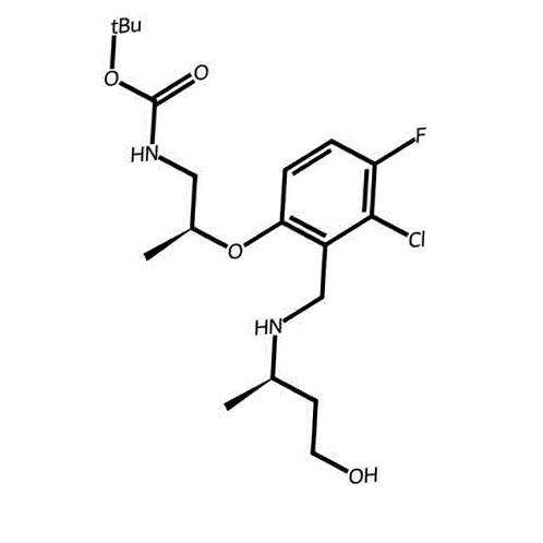 C[C@H](CCO)NCc1c(O[C@@H](C)CNC(=O)OC(C)(C)C)ccc(F)c1Cl